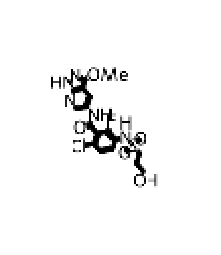 COc1n[nH]c2ncc(NC(=O)c3c(Cl)ccc(NS(=O)(=O)CCCO)c3F)cc12